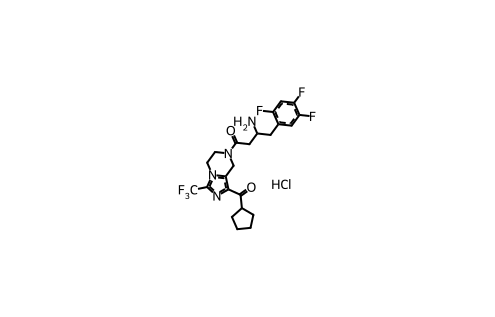 Cl.NC(CC(=O)N1CCn2c(C(F)(F)F)nc(C(=O)C3CCCC3)c2C1)Cc1cc(F)c(F)cc1F